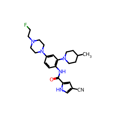 CC1CCN(c2cc(N3CCN(CCF)CC3)ccc2NC(=O)c2cc(C#N)c[nH]2)CC1